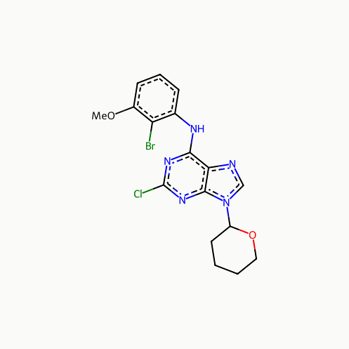 COc1cccc(Nc2nc(Cl)nc3c2ncn3C2CCCCO2)c1Br